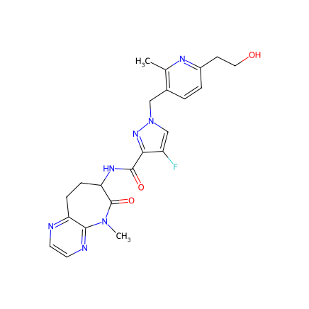 Cc1nc(CCO)ccc1Cn1cc(F)c(C(=O)NC2CCc3nccnc3N(C)C2=O)n1